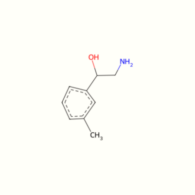 Cc1cccc(C(O)CN)c1